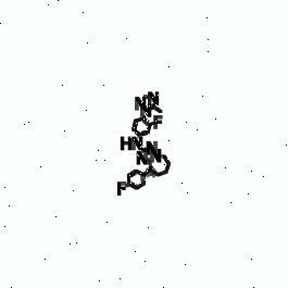 Cc1ncnn1-c1ccc(Nc2nc3n(n2)CCCC[C@H]3c2ccc(F)cc2)cc1F